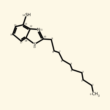 CCCCCCCCCCc1nc2c(S)cccc2s1